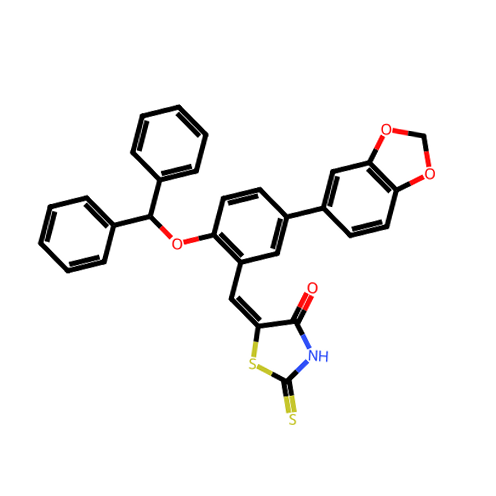 O=C1NC(=S)S/C1=C/c1cc(-c2ccc3c(c2)OCO3)ccc1OC(c1ccccc1)c1ccccc1